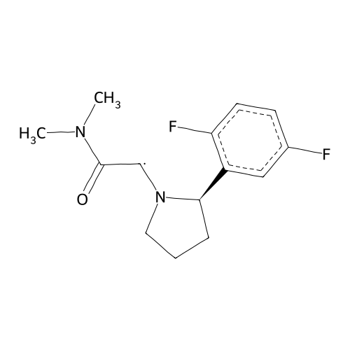 CN(C)C(=O)[CH]N1CCC[C@@H]1c1cc(F)ccc1F